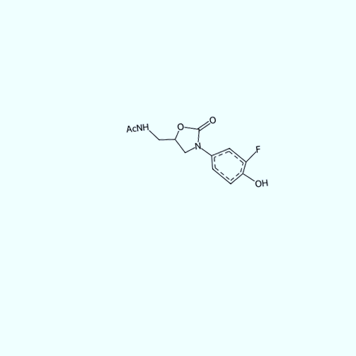 CC(=O)NCC1CN(c2ccc(O)c(F)c2)C(=O)O1